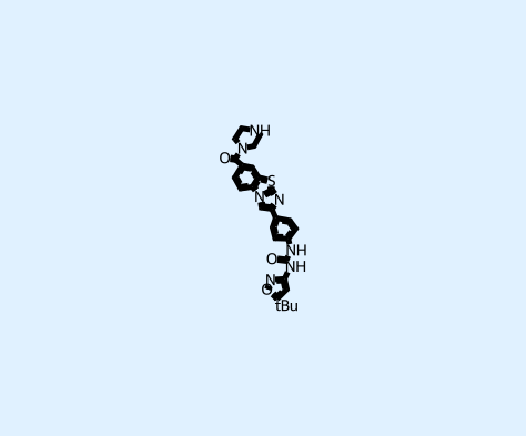 CC(C)(C)c1cc(NC(=O)Nc2ccc(-c3cn4c(n3)sc3cc(C(=O)N5CCNCC5)ccc34)cc2)no1